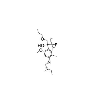 CCCOCC(O)(c1cc(C)c(N=CN(C)CC)cc1OC)C(F)(F)F